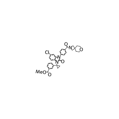 COC(=O)c1cccc(C2(n3c(=O)n(-c4ccc(C(=O)N5CC6(CCOCC6)C5)cc4)c4cc(Cl)ccc43)CC2)c1